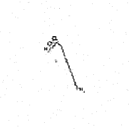 CCCCCCCCCCCCCCCCCCCCCCCCCCCC#CC(=Nc1ccccc1)C(CCCC)=Nc1ccccc1.[Ni]